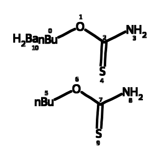 CCCCOC(N)=S.CCCCOC(N)=S.[BaH2]